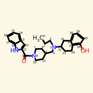 CCCN(CC1CCN(C(=O)c2cc3ccccc3[nH]2)CC1)C1CCc2c(O)cccc2C1